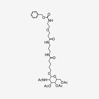 CC(=O)NC1C(OCCCCC(=O)NCCCNC(=O)CCOCCNC(=O)OCc2ccccc2)OC(COC(C)=O)C(OC(C)=O)C1OC(C)=O